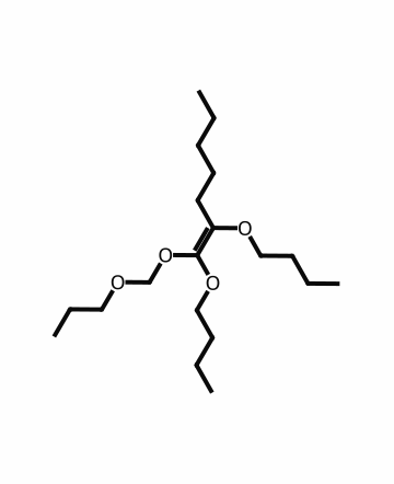 CCCCCC(OCCCC)=C(OCCCC)OCOCCC